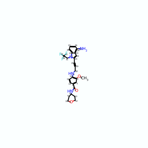 COc1cc(C(=O)NC2CCOCC2)ccc1NCC#Cc1cc2c(N)cccc2n1CC(F)(F)F